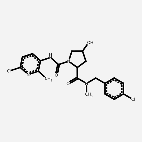 Cc1nc(Cl)ccc1NC(=O)N1CC(O)CC1C(=O)N(C)Cc1ccc(Cl)cc1